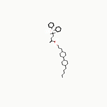 C=C(CCC(C)(C)[Si](O)(c1ccccc1)c1ccccc1)C(=O)OCCCC1CCC(C2CCC(CCCCC)CC2)CC1